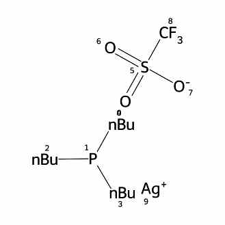 CCCCP(CCCC)CCCC.O=S(=O)([O-])C(F)(F)F.[Ag+]